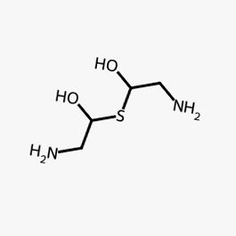 NCC(O)SC(O)CN